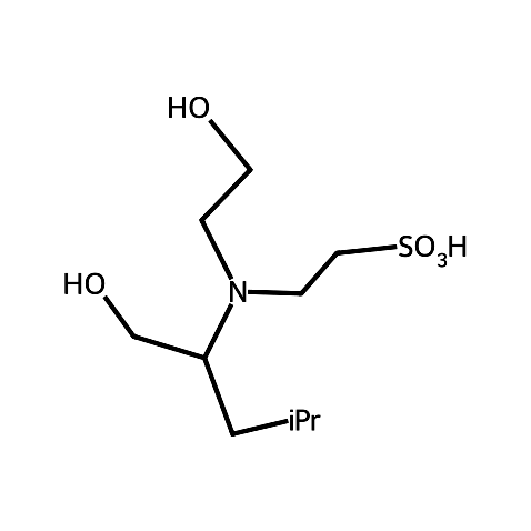 CC(C)CC(CO)N(CCO)CCS(=O)(=O)O